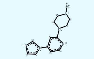 CC(=O)N1CCN(c2cc(-n3ccnc3)ccn2)CC1